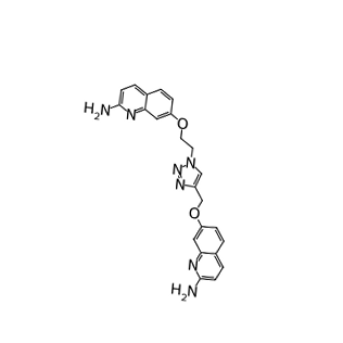 Nc1ccc2ccc(OCCn3cc(COc4ccc5ccc(N)nc5c4)nn3)cc2n1